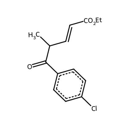 CCOC(=O)/C=C/C(C)C(=O)c1ccc(Cl)cc1